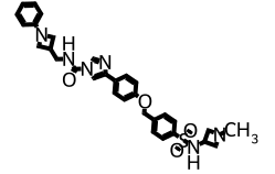 CN1CC(NS(=O)(=O)c2ccc(COc3ccc(-c4cn(C(=O)NCC5CN(c6ccccc6)C5)cn4)cc3)cc2)C1